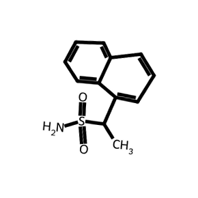 CC(c1cccc2ccccc12)S(N)(=O)=O